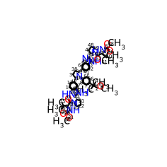 COCC(C)(C)c1ccc(N2[C@@H](c3ccc4c(c3)NC([C@@H]3CCCN3C(=O)[C@@H](NC(=O)OC)C(C)C)N4)CC[C@@H]2c2ccc3[nH]c([C@@H]4CCCN4C(=O)[C@@H](NC(=O)OC)C(C)C)nc3c2)cc1